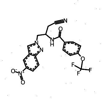 N#CCC(Cn1cc2cc([N+](=O)[O-])ccc2n1)NC(=O)c1ccc(OC(F)(F)F)cc1